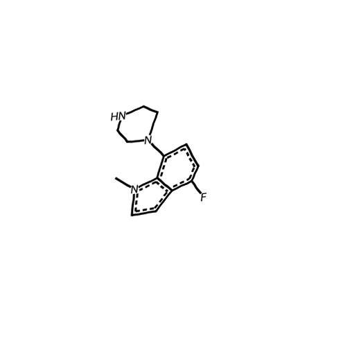 Cn1ccc2c(F)ccc(N3CCNCC3)c21